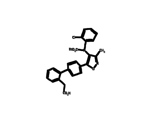 CCOC(=O)N(c1ccccc1Cl)c1c(C)noc1-c1ccc(-c2ccccc2CC(=O)O)cc1